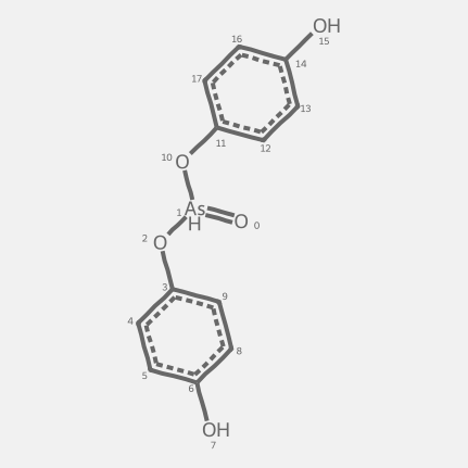 O=[AsH](Oc1ccc(O)cc1)Oc1ccc(O)cc1